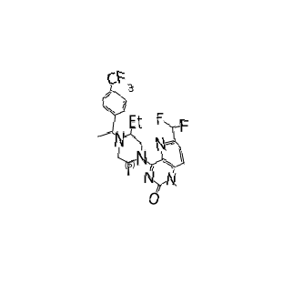 CCC1CN(c2nc(=O)n(C)c3ccc(C(F)F)nc23)[C@@H](C)CN1C(C)c1ccc(C(F)(F)F)cc1